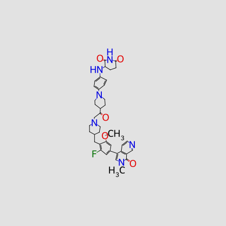 COc1cc(-c2cn(C)c(=O)c3cnccc23)cc(F)c1CC1CCN(CC(=O)C2CCN(c3ccc(NC4CCC(=O)NC4=O)cc3)CC2)CC1